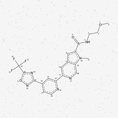 COCCNC(=O)c1cc2cc(-c3cc(-c4noc(C(F)(F)F)n4)ccn3)ncc2n1C